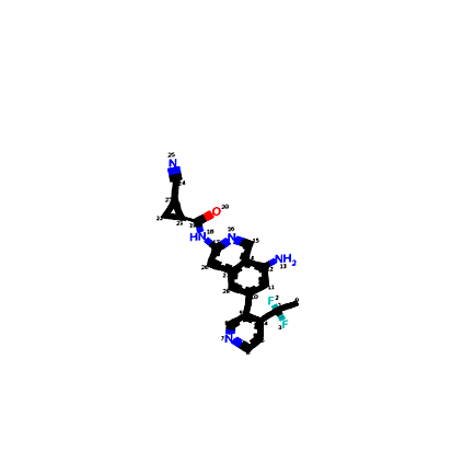 CC(F)(F)c1ccncc1-c1cc(N)c2cnc(NC(=O)[C@H]3CC3C#N)cc2c1